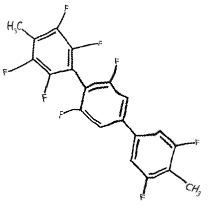 Cc1c(F)cc(-c2cc(F)c(-c3c(F)c(F)c(C)c(F)c3F)c(F)c2)cc1F